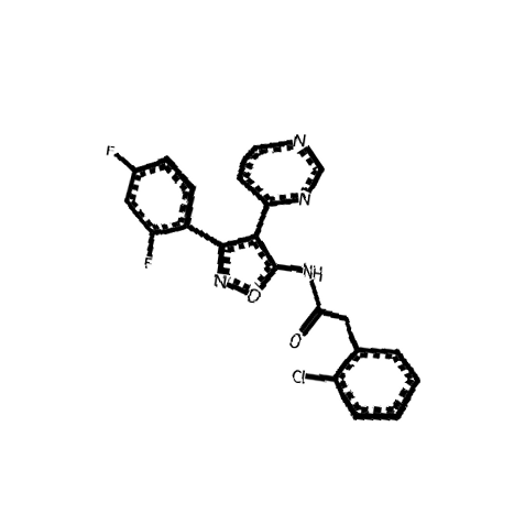 O=C(Cc1ccccc1Cl)Nc1onc(-c2ccc(F)cc2F)c1-c1ccncn1